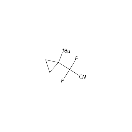 CC(C)(C)C1(C(F)(F)C#N)CC1